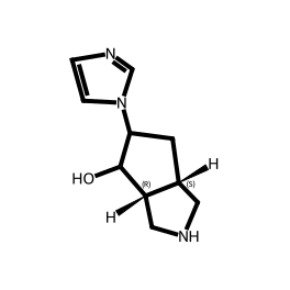 OC1C(n2ccnc2)C[C@@H]2CNC[C@H]12